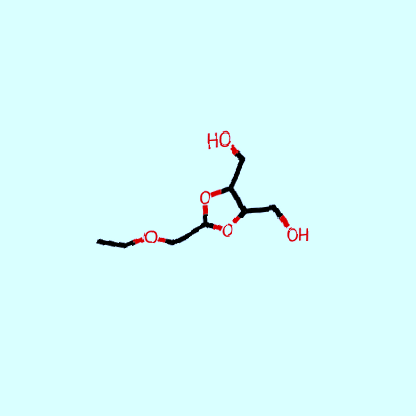 CCOCC1OC(CO)C(CO)O1